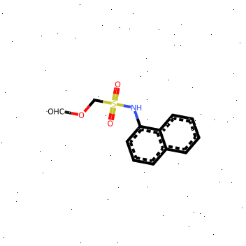 O=[C]OCS(=O)(=O)Nc1cccc2ccccc12